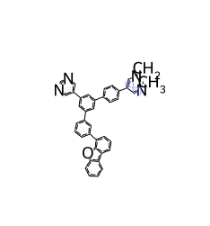 C=N/C=C(\C=N/C)c1ccc(-c2cc(-c3cncnc3)cc(-c3cccc(-c4cccc5c4oc4ccccc45)c3)c2)cc1